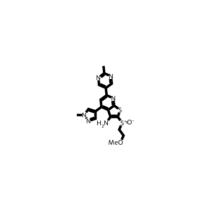 COCC[S+]([O-])c1sc2nc(-c3cnc(C)nc3)cc(-c3cnn(C)c3)c2c1N